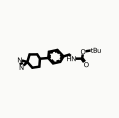 CC(C)(C)OC(=O)NCc1ccc(C2CCC3(CC2)N=N3)cc1